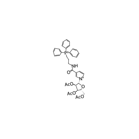 CC(=O)OC[C@H]1O[C@@H]([n+]2cccc(C(=O)NCCC[P+](c3ccccc3)(c3ccccc3)c3ccccc3)c2)[C@H](OC(C)=O)[C@@H]1OC(C)=O